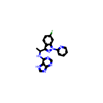 CC(Nc1ncnc2nc[nH]c12)c1nn(-c2ccccn2)c2cc(F)ccc12